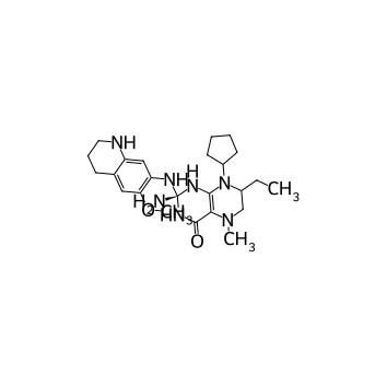 CCC1CN(C)C2=C(N[C@@](N)(Nc3cc4c(cc3OC)CCCN4)NC2=O)N1C1CCCC1